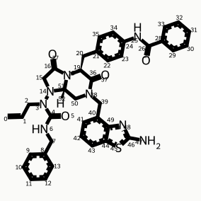 C=CCN(C(=O)NCc1ccccc1)N1CC(=O)N2[C@@H](Cc3ccc(NC(=O)c4ccccc4)cc3)C(=O)N(Cc3cccc4sc(N)nc34)C[C@@H]21